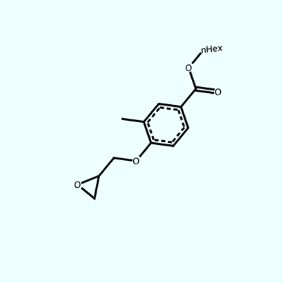 CCCCCCOC(=O)c1ccc(OCC2CO2)c(C)c1